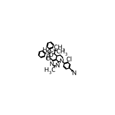 Cc1nc(Cl)c2c(n1)N(c1ccc(C#N)cc1Cl)CCC2C(O[SiH](c1ccccc1)c1ccccc1)C(C)(C)C